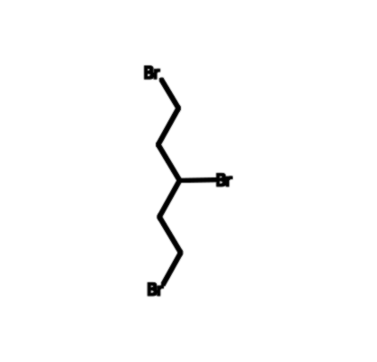 BrCCC(Br)CCBr